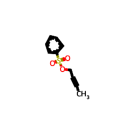 CC#CCOS(=O)(=O)c1ccccc1